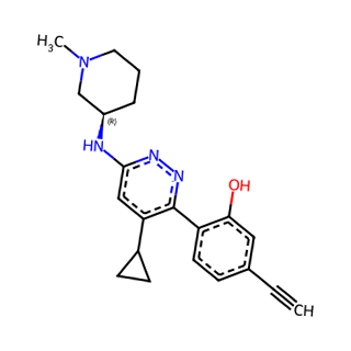 C#Cc1ccc(-c2nnc(N[C@@H]3CCCN(C)C3)cc2C2CC2)c(O)c1